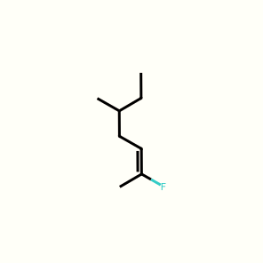 CCC(C)C/C=C(\C)F